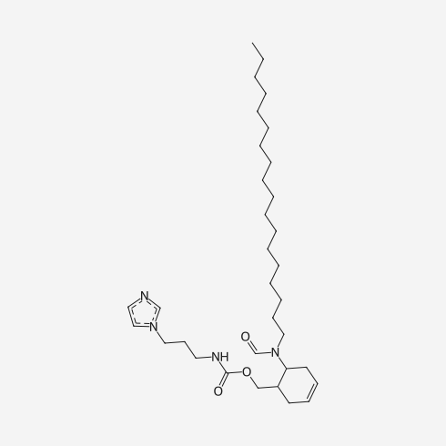 CCCCCCCCCCCCCCCCCCN(C=O)C1CC=CCC1COC(=O)NCCCn1ccnc1